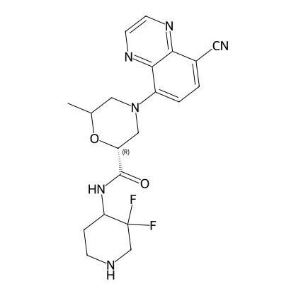 CC1CN(c2ccc(C#N)c3nccnc23)C[C@H](C(=O)NC2CCNCC2(F)F)O1